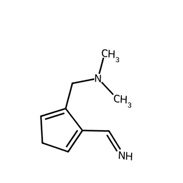 CN(C)CC1=CCC=C1C=N